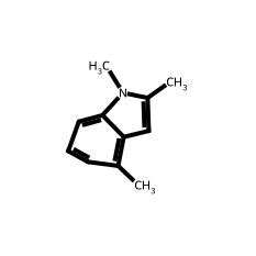 Cc1cccc2c1cc(C)n2C